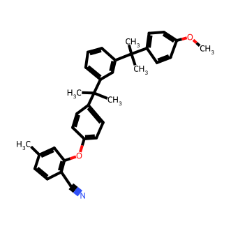 COc1ccc(C(C)(C)c2cccc(C(C)(C)c3ccc(Oc4cc(C)ccc4C#N)cc3)c2)cc1